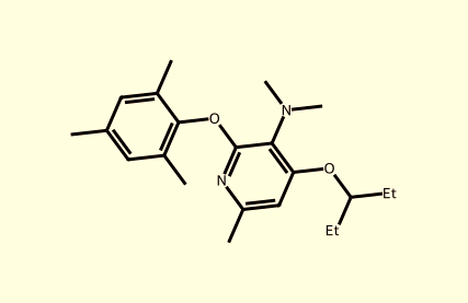 CCC(CC)Oc1cc(C)nc(Oc2c(C)cc(C)cc2C)c1N(C)C